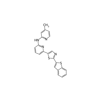 Cc1ccnc(Nc2cccc(-c3cnc(-c4cc5ccccc5s4)s3)n2)c1